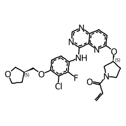 C=CC(=O)N1CC[C@H](Oc2ccc3ncnc(Nc4ccc(OC[C@H]5CCOC5)c(Cl)c4F)c3n2)C1